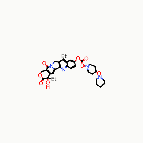 CCc1c2c(nc3ccc(OC(=O)ON4CCC(ON5CCCCC5)CC4)cc13)-c1cc3c(c(=O)n1C2)COC(=O)C3(O)CC